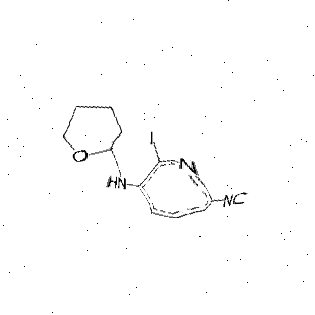 [C-]#[N+]c1ccc(NC2CCCCO2)c(I)n1